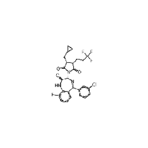 O=C1Nc2c(F)cccc2C(c2cccc(Cl)c2)=N[C@H]1N1C(=O)[C@@H](CC2CC2)[C@@H](CCC(F)(F)F)C1=O